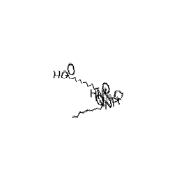 CCCCCCCCC(=O)N[C@@H](C(=O)NCCCCCCCCCCC(=O)O)c1ccccc1